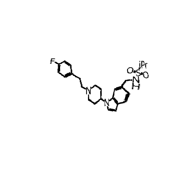 CC(C)S(=O)(=O)NCc1ccc2ccn(C3CCN(CCc4ccc(F)cc4)CC3)c2c1